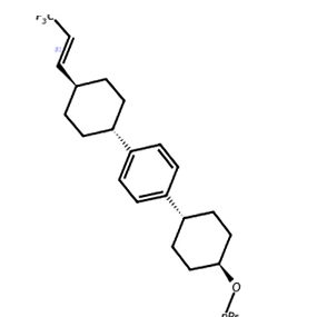 CCCO[C@H]1CC[C@H](c2ccc([C@H]3CC[C@H](/C=C/C(F)(F)F)CC3)cc2)CC1